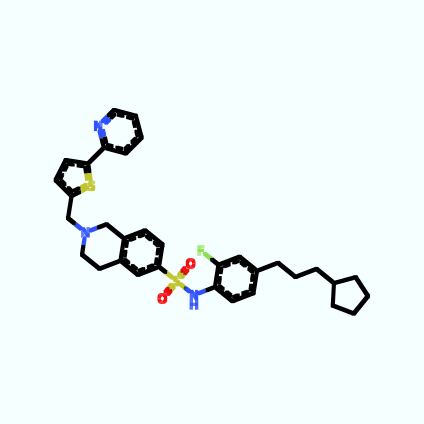 O=S(=O)(Nc1ccc(CCCC2CCCC2)cc1F)c1ccc2c(c1)CCN(Cc1ccc(-c3ccccn3)s1)C2